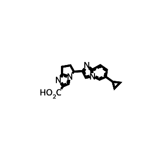 O=C(O)c1cn2c(n1)CCC2c1cn2cc(C3CC3)ccc2n1